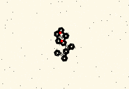 c1ccc(-c2cccc(-c3cccc(-n4c5ccccc5c5cc6c7ccccc7n(-c7ccccc7)c6cc54)c3)c2-n2c3ccccc3c3ccccc32)cc1